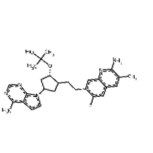 Cc1cc2cc(F)c(CCC3CC(n4ccc5c(N)ncnc54)C[C@@H]3OC(C)(C)O)cc2nc1N